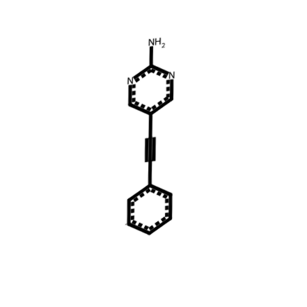 Nc1ncc(C#Cc2c[c]ccc2)cn1